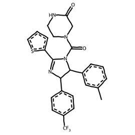 Cc1cccc(C2C(c3ccc(C(F)(F)F)cc3)N=C(c3cccs3)N2C(=O)N2CCNC(=O)C2)c1